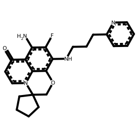 Nc1c(F)c(NCCCc2ccccn2)c2c3c1c(=O)ccn3C1(CCCC1)CO2